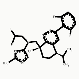 Cc1nnc(N(CC(F)F)C[C@@]2(C)CC[C@H](C(C)C)c3cc(-c4c(F)cccc4F)nnc32)o1